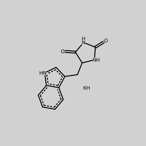 O=C1NC(=O)C(Cc2c[nH]c3ccccc23)N1.[KH]